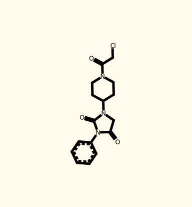 O=C(CCl)N1CCC(N2CC(=O)N(c3ccccc3)C2=O)CC1